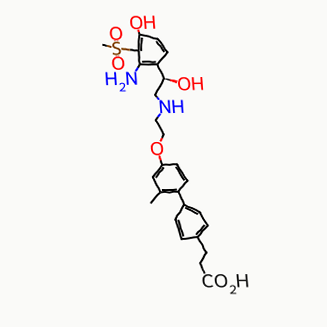 Cc1cc(OCCNC[C@H](O)c2ccc(O)c(S(C)(=O)=O)c2N)ccc1-c1ccc(CCC(=O)O)cc1